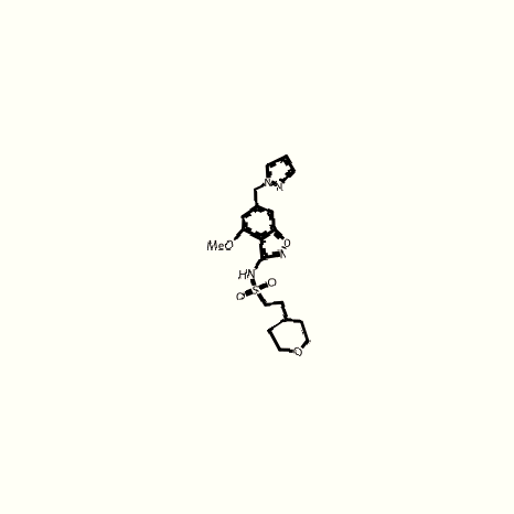 COc1cc(Cn2cccn2)cc2onc(NS(=O)(=O)CCC3CCOCC3)c12